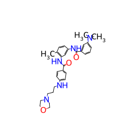 Cc1ccc(NC(=O)c2cccc(N(C)C)c2)cc1NC(=O)c1ccc(NCCCN2CCOCC2)cc1